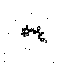 CC1=NC(C)(C)SC1=NOC(=O)N(C)SC(F)(F)F